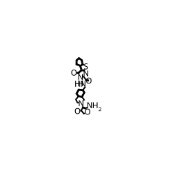 NC1=C(N2CCc3ccc(CNC(=O)c4nc5sc6ccccc6c5c(=O)[nH]4)cc3C2)C(=O)CO1